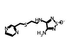 Nc1n[s+]([O-])nc1NCCSCc1cnccn1